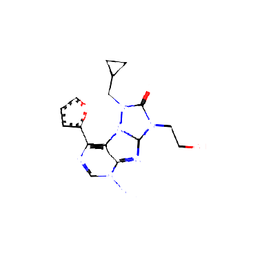 NN1C=NC(c2ccco2)=C2C1=NC1N(CCO)C(=O)N(CC3CC3)N21